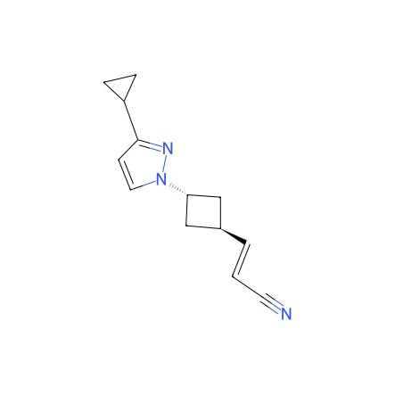 N#CC=C[C@H]1C[C@H](n2ccc(C3CC3)n2)C1